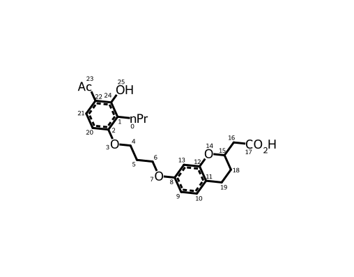 CCCc1c(OCCCOc2ccc3c(c2)OC(CC(=O)O)CC3)ccc(C(C)=O)c1O